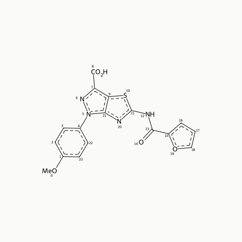 COc1ccc(-n2nc(C(=O)O)c3sc(NC(=O)c4ccco4)nc32)cc1